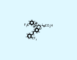 O=C(O)CC[C@H]1CN(S(=O)(=O)c2cccc(C(F)(F)F)c2)c2cc(/C=C/c3cccnc3C(F)(F)F)ccc2O1